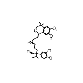 COc1cc2c(cc1OC)C(C)(C)COC2CCN(C)CCCC(C#N)(c1ccc(Cl)c(Cl)c1)C(C)C